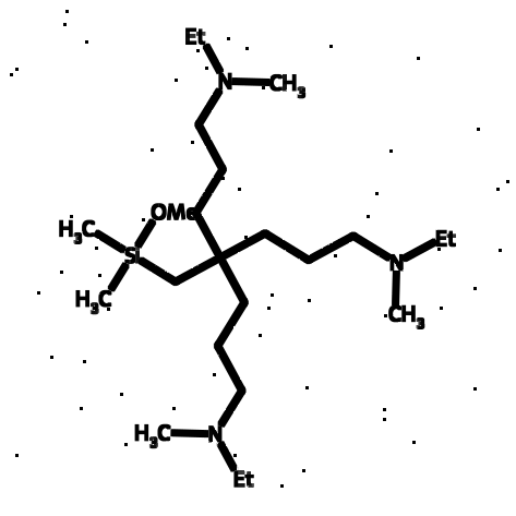 CCN(C)CCCC(CCCN(C)CC)(CCCN(C)CC)C[Si](C)(C)OC